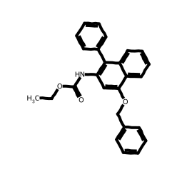 CCOC(=O)Nc1cc(OCc2ccccc2)c2ccccc2c1-c1ccccc1